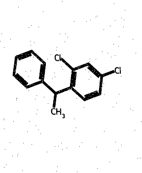 C[C](c1ccccc1)c1ccc(Cl)cc1Cl